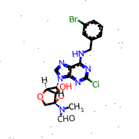 CN(C=O)[C@]12CO[C@@H]([C@H](n3cnc4c(NCc5cccc(Br)c5)nc(Cl)nc43)O1)[C@@H]2O